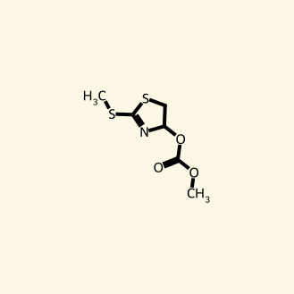 COC(=O)OC1CSC(SC)=N1